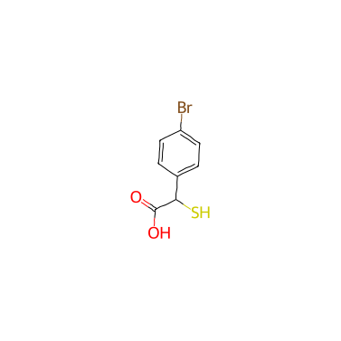 O=C(O)C(S)c1ccc(Br)cc1